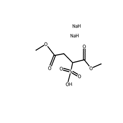 COC(=O)CC(C(=O)OC)S(=O)(=O)O.[NaH].[NaH]